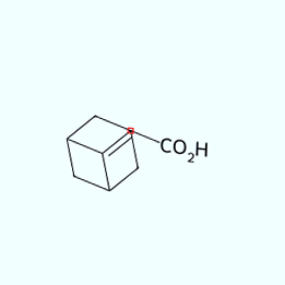 O=C(O)C=C1C2CCCC1C2